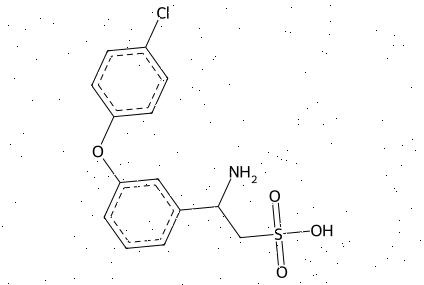 NC(CS(=O)(=O)O)c1cccc(Oc2ccc(Cl)cc2)c1